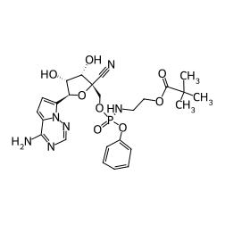 CC(C)(C)C(=O)OCCN[P@](=O)(OC[C@@]1(C#N)O[C@@H](c2ccc3c(N)ncnn23)[C@H](O)[C@@H]1O)Oc1ccccc1